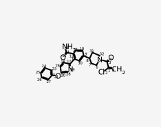 C=C(Cl)C(=O)N1CCC(c2ccc(C(N)=O)c(-c3ccc(Oc4ccccc4)cn3)c2)CC1